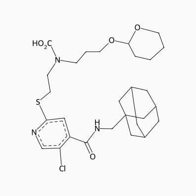 O=C(NCC12CC3CC(CC(C3)C1)C2)c1cc(SCCN(CCCOC2CCCCO2)C(=O)O)ncc1Cl